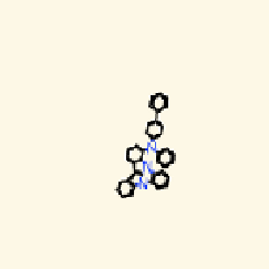 c1ccc(-c2ccc(N(c3ccccc3)c3cccc4c5c6ccccc6n6c7ccccc7n(c34)c56)cc2)cc1